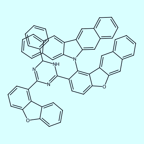 c1ccc(C2N=C(c3cccc4oc5ccccc5c34)N=C(c3ccc4oc5cc6ccccc6cc5c4c3-n3c4cc5ccccc5cc4c4cc5ccccc5cc43)N2)cc1